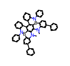 CN1c2cc(-c3ccccc3)ccc2B2c3c(c4c5c(c31)N(C)c1cc(-c3ccccc3)ccc1B5N(c1ccccc1)c1ccccc1-4)-c1ccccc1N2c1ccccc1